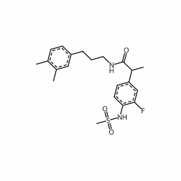 Cc1ccc(CCCNC(=O)C(C)c2ccc(NS(C)(=O)=O)c(F)c2)cc1C